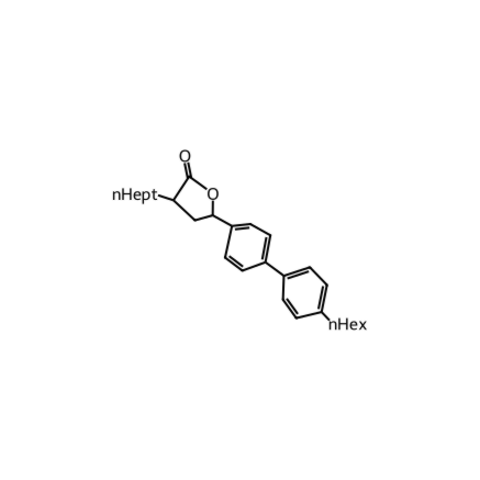 CCCCCCCC1CC(c2ccc(-c3ccc(CCCCCC)cc3)cc2)OC1=O